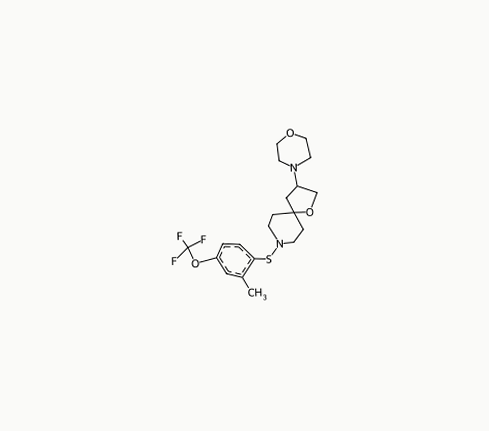 Cc1cc(OC(F)(F)F)ccc1SN1CCC2(CC1)CC(N1CCOCC1)CO2